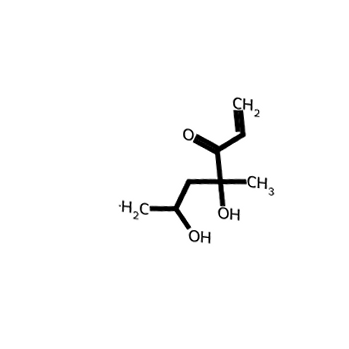 [CH2]C(O)CC(C)(O)C(=O)C=C